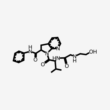 CC(C)C(NC(=O)CNCCO)C(=O)N1c2ncccc2CC1C(=O)Nc1ccccc1